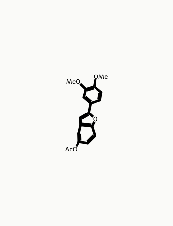 COc1ccc(-c2cc3cc(OC(C)=O)ccc3o2)cc1OC